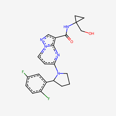 O=C(NC1(CO)CC1)c1cnn2ccc(N3CCCC3c3cc(F)ccc3F)nc12